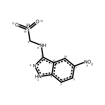 O=[N+]([O-])c1ccc2[nH]nc(NC[SH](=O)=O)c2c1